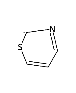 [CH]1N=CC=CS1